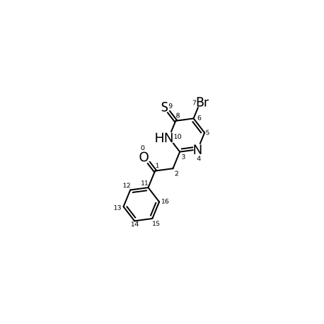 O=C(Cc1ncc(Br)c(=S)[nH]1)c1ccccc1